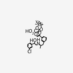 CC(Cc1cccc(C2=COC(C(=O)O)(C(=O)OC([Si](C)(C)C)[Si](C)(C)C)O2)c1)NCC(O)c1cccc(Cl)c1